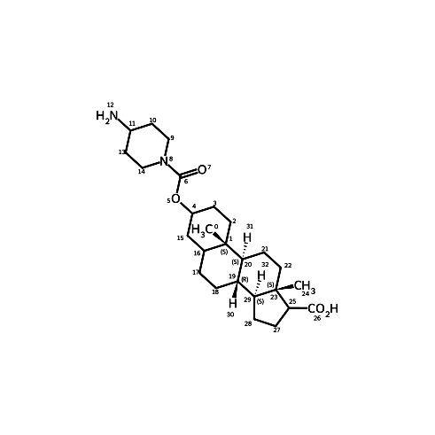 C[C@]12CCC(OC(=O)N3CCC(N)CC3)CC1CC[C@@H]1[C@@H]2CC[C@]2(C)C(C(=O)O)CC[C@@H]12